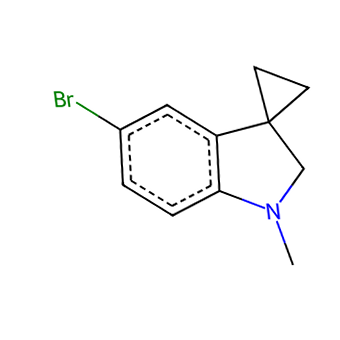 CN1CC2(CC2)c2cc(Br)ccc21